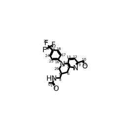 CC(=O)NCC1Cc2nc(C=O)ccc2N(c2ccc(C(F)(F)F)cc2)C1